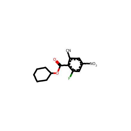 N#Cc1cc([N+](=O)[O-])cc(F)c1C(=O)OC1CCCCC1